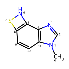 Cn1cnc2c3[nH]sc3ccc21